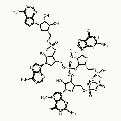 CO[C@H]1C(OP(=O)([O-])OC[C@H]2C[C@@H](n3cnc4c(N)ncnc43)[C@@H](O)C2OP(=O)(O)OC[C@H]2C[C@@H](n3cnc4c(C)ncnc43)[C@@H](O)C2O)[C@@H](COP(=O)(O)OP(=O)(O)OP(=O)(O)OCC2O[C@@H](n3c[n+](C)c4c(=O)[nH]c(N)nc43)C(O)C2O)O[C@H]1n1cnc2c(=O)[nH]c(N)nc21